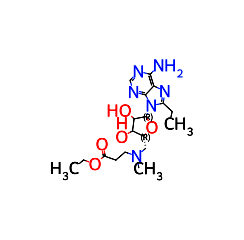 CCOC(=O)CCN(C)C[C@H]1O[C@@H](n2c(CC)nc3c(N)ncnc32)C(O)C1O